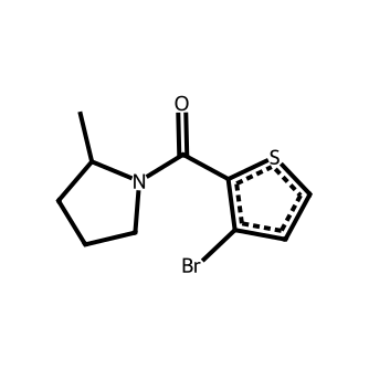 CC1CCCN1C(=O)c1sccc1Br